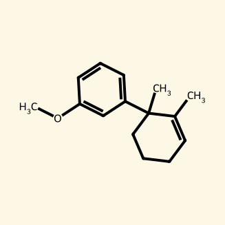 COc1cccc(C2(C)CCCC=C2C)c1